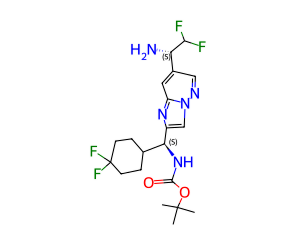 CC(C)(C)OC(=O)N[C@H](c1cn2ncc([C@H](N)C(F)F)cc2n1)C1CCC(F)(F)CC1